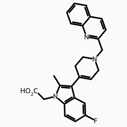 Cc1c(C2=CCN(Cc3ccc4ccccc4n3)CC2)c2cc(F)ccc2n1CC(=O)O